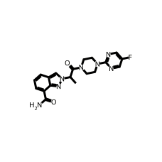 CC(C(=O)N1CCN(c2ncc(F)cn2)CC1)n1cc2cccc(C(N)=O)c2n1